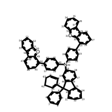 C1=CC(C2(c3ccccc3)c3ccccc3-c3ccc(N(c4ccc(-c5cccc6c5oc5ccccc56)cc4)c4ccc(-c5cccc6c5oc5ccccc56)cc4)cc32)=CCC1